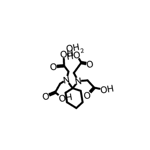 O.O=C(O)CN(CC(=O)O)C1(N(CC(=O)O)CC(=O)O)CCCCC1